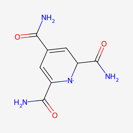 NC(=O)C1=CC(C(N)=O)[N]C(C(N)=O)=C1